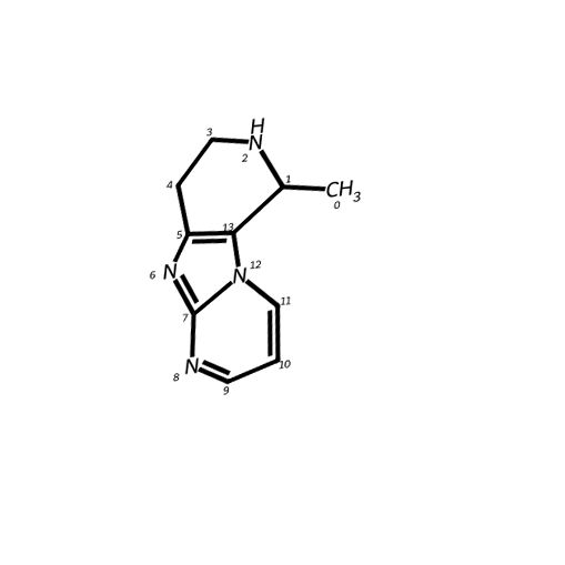 CC1NCCc2nc3ncccn3c21